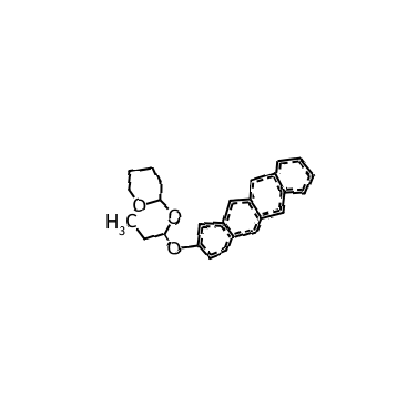 CCC(Oc1ccc2cc3cc4ccccc4cc3cc2c1)OC1CCCCO1